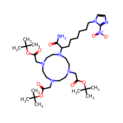 CC(C)(C)OC(=O)CN1CCN(CC(=O)OC(C)(C)C)CCN(C(CCCCCCn2ccnc2[N+](=O)[O-])C(N)=O)CCN(CC(=O)OC(C)(C)C)CC1